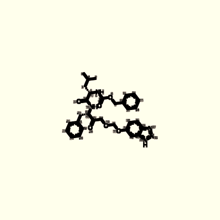 CC(C)C[C@H](NC(=O)OCc1ccccc1)C(=O)N[C@@H](Cc1ccccc1)C(=O)COCOc1ccc2nn[nH]c2c1